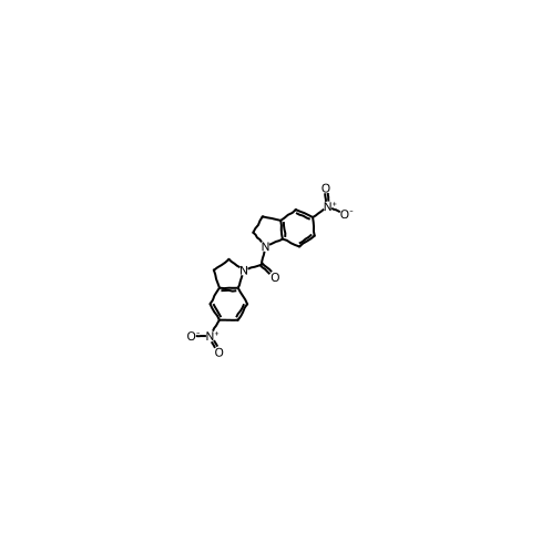 O=C(N1CCc2cc([N+](=O)[O-])ccc21)N1CCc2cc([N+](=O)[O-])ccc21